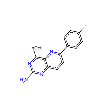 CCCCCCCCc1nc(N)nc2ccc(-c3ccc(F)cc3)nc12